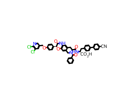 N#Cc1ccc(-c2ccc(C[C@H](NC(=O)C3Cc4cc5c(cc4CN3C(=O)c3ccccc3)O[C@@H](c3ccc(OCc4cnc(Cl)c(Cl)c4)cc3)C(=O)N5)C(=O)O)cc2)cc1